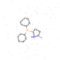 Cc1ccc(P(c2ccccc2)c2ccccc2)[nH]1